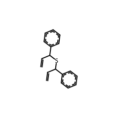 C=CC(SC(C=C)c1ccccc1)c1ccccc1